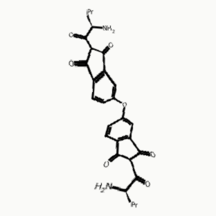 CC(C)[C@@H](N)C(=O)C1C(=O)c2ccc(Oc3ccc4c(c3)C(=O)C(C(=O)[C@H](N)C(C)C)C4=O)cc2C1=O